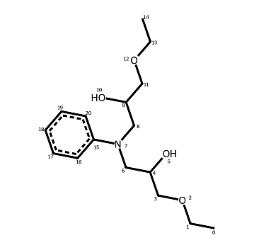 CCOCC(O)CN(CC(O)COCC)c1ccccc1